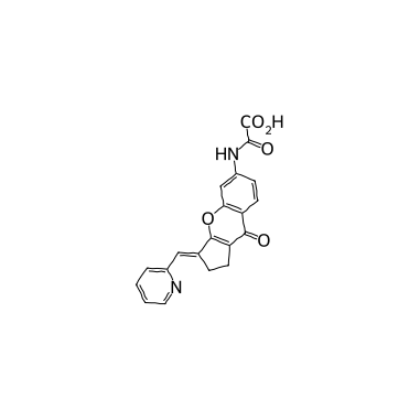 O=C(O)C(=O)Nc1ccc2c(=O)c3c(oc2c1)C(=Cc1ccccn1)CC3